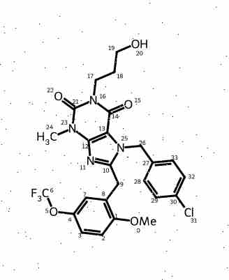 COc1ccc(OC(F)(F)F)cc1Cc1nc2c(c(=O)n(CCCO)c(=O)n2C)n1Cc1ccc(Cl)cc1